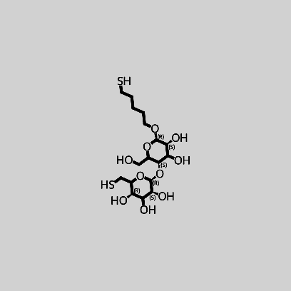 OCC1O[C@@H](OCCCCCS)[C@@H](O)C(O)[C@@H]1O[C@@H]1OC(CS)[C@H](O)C(O)[C@@H]1O